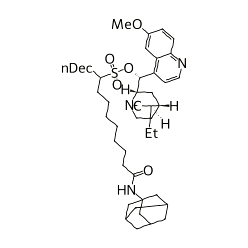 CCCCCCCCCCC(CCCCCCCC(=O)NC12CC3CC(CC(C3)C1)C2)S(=O)(=O)O[C@H](c1ccnc2ccc(OC)cc12)[C@@H]1C[C@@H]2CCN1C[C@@H]2CC